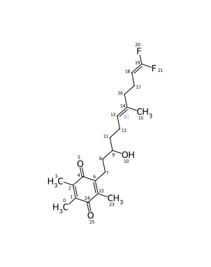 CC1=C(C)C(=O)C(CCC(O)CC/C=C(\C)CCC=C(F)F)=C(C)C1=O